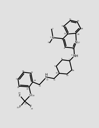 CN(C)c1cc(NC2CCC(CNCc3ccccc3OC(F)(F)F)CC2)nc2ccccc12